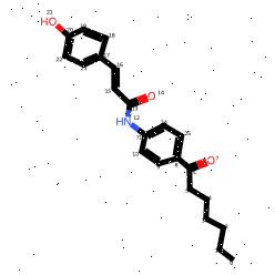 CCCCCCC(=O)c1ccc(NC(=O)C=Cc2ccc(O)cc2)cc1